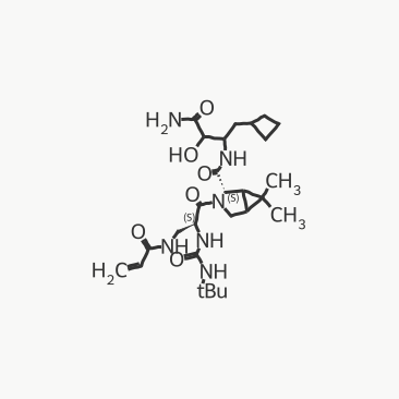 C=CC(=O)NC[C@H](NC(=O)NC(C)(C)C)C(=O)N1CC2C([C@H]1C(=O)NC(CC1CCC1)C(O)C(N)=O)C2(C)C